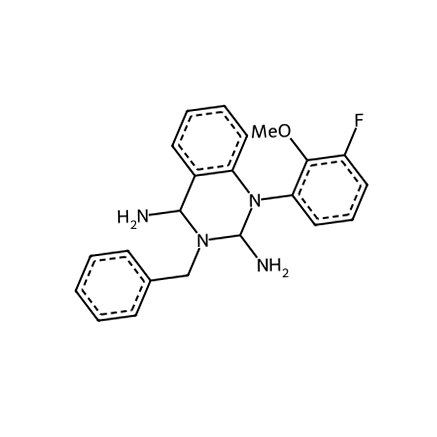 COc1c(F)cccc1N1c2ccccc2C(N)N(Cc2ccccc2)C1N